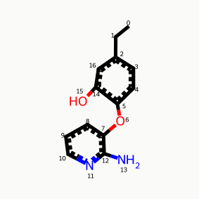 CCc1ccc(Oc2cccnc2N)c(O)c1